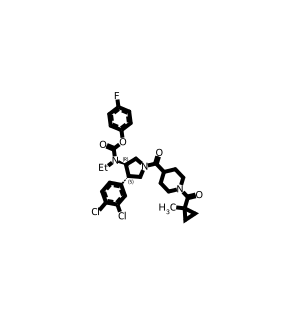 CCN(C(=O)Oc1ccc(F)cc1)[C@H]1CN(C(=O)C2CCN(C(=O)C3(C)CC3)CC2)C[C@@H]1c1ccc(Cl)c(Cl)c1